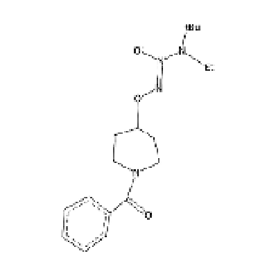 CCN(/[N+]([O-])=N/OC1CCN(C(=O)c2ccccc2)CC1)C(C)(C)C